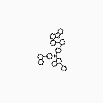 c1ccc(-c2c(-c3ccc(N(c4ccc(-c5cccc6ccccc56)cc4)c4ccc(-c5ccccc5)c5ccccc45)cc3)cccc2-n2c3ccccc3c3ccccc32)cc1